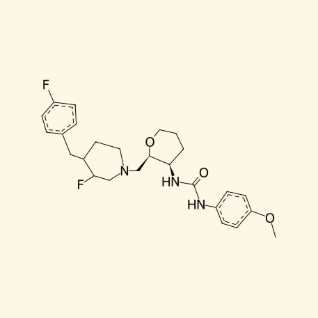 COc1ccc(NC(=O)N[C@@H]2CCCO[C@@H]2CN2CCC(Cc3ccc(F)cc3)C(F)C2)cc1